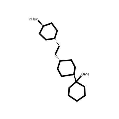 CCCCCC[C@H]1CC[C@H](CC[C@H]2CC[C@H](C3(OC)CCCCC3)CC2)CC1